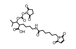 CC(C)C(OC(=O)ON1C(=O)CCC1=O)C(CCCCNC(=O)CCCCCN1C(=O)C=CC1=O)C(=O)O